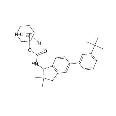 CC(C)(C)c1cccc(-c2ccc3c(c2)CC(C)(C)C3NC(=O)O[C@H]2CN3CCC2CC3)c1